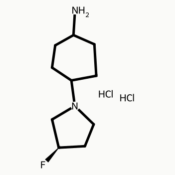 Cl.Cl.NC1CCC(N2CC[C@@H](F)C2)CC1